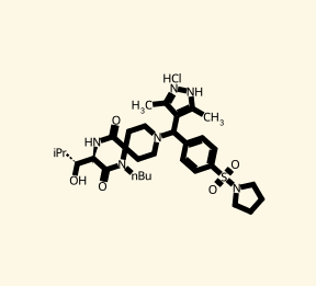 CCCCN1C(=O)[C@@H]([C@H](O)C(C)C)NC(=O)C12CCN(C(c1ccc(S(=O)(=O)N3CCCC3)cc1)c1c(C)n[nH]c1C)CC2.Cl